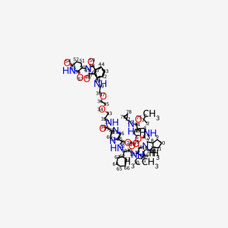 CCC[C@H](NC(=O)[C@@H]1C2CCC[C@H]2CN1C(=O)[C@@H](NC(=O)[C@@H](NC(=O)c1cnc(C(=O)NCCOCCOCCNc2cccc3c2C(=O)N(C2CCC(=O)NC2=O)C3=O)cn1)C1CCCCC1)C(C)(C)C)C(C)C(=O)NC1CC1